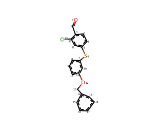 O=Cc1ccc(Sc2cccc(OCc3ccccc3)c2)cc1Cl